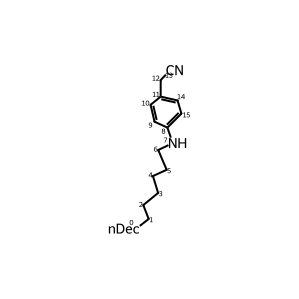 CCCCCCCCCCCCCCCCNc1ccc(CC#N)cc1